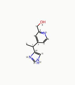 CC(c1ccnc(CO)c1)c1c[nH]cn1